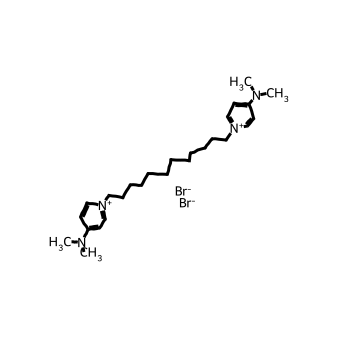 CN(C)c1cc[n+](CCCCCCCCCCCC[n+]2ccc(N(C)C)cc2)cc1.[Br-].[Br-]